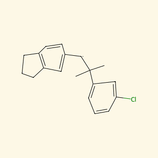 CC(C)([CH]c1ccc2c(c1)CCC2)c1cccc(Cl)c1